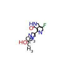 CC(C)(O)Cn1cc(-c2ncc(F)c3c2C(=O)NC3)cn1